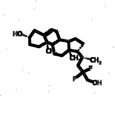 C[C@H](CC(F)(F)CO)[C@H]1CCC2C3CC=C4C[C@@H](O)CC[C@]4(C)C3CC[C@@]21C